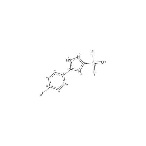 O=S(=O)(Cl)c1n[nH]c(-c2ccc(F)cc2)n1